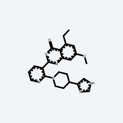 CCc1cc(OC)cc2nc(-c3cccnc3N3CCC(c4c[nH]cn4)CC3)oc(=O)c12